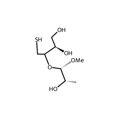 CO[C@@H](OC(CS)[C@H](O)CO)[C@H](C)O